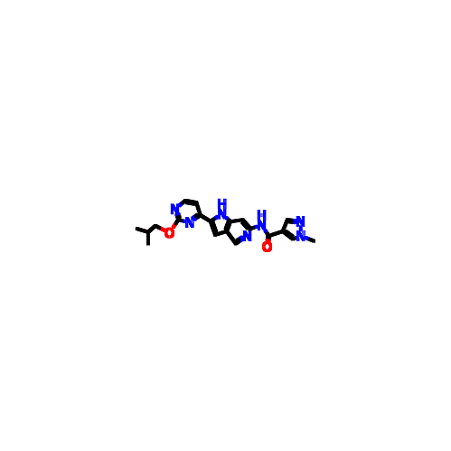 CC(C)COc1nccc(-c2cc3cnc(NC(=O)c4cnn(C)c4)cc3[nH]2)n1